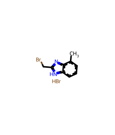 Br.Cc1cccc2[nH]c(CBr)nc12